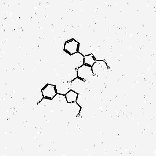 CCOc1nn(-c2ccccc2)c(NC(=O)N[C@@H]2CN(CC(F)(F)F)CC2c2cccc(F)c2)c1C